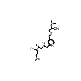 CCN(CCN(C)C)C(=O)CNCc1cc(C=NCC(O)CN(C)C)ccn1